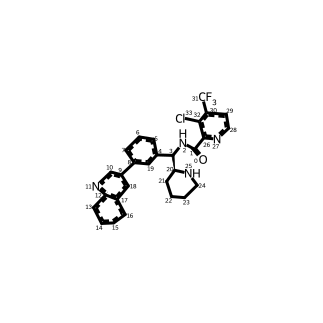 O=C(NC(c1cccc(-c2cnc3ccccc3c2)c1)[C@@H]1CCCCN1)c1nccc(C(F)(F)F)c1Cl